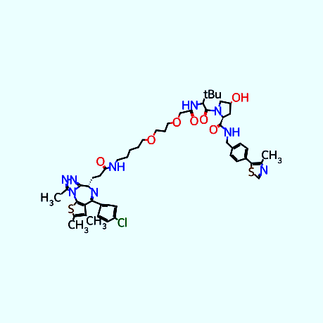 Cc1ncsc1-c1ccc(CNC(=O)[C@@H]2C[C@@H](O)CN2C(=O)C(NC(=O)COCCCOCCCCCNC(=O)CC[C@@H]2N=C(c3ccc(Cl)cc3)c3c(sc(C)c3C)-n3c(C)nnc32)C(C)(C)C)cc1